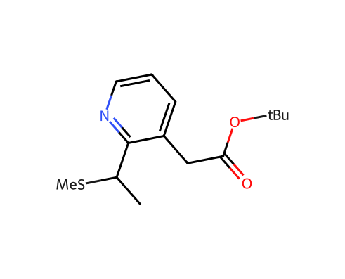 CSC(C)c1ncccc1CC(=O)OC(C)(C)C